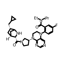 CCN(C(=O)c1cc(F)ccc1N1CCN([C@@H]2CCN(C(=O)[C@H]3NC4C[C@@H]3C[C@@H]4CC3CC3)C2)c2ncncc21)C(C)C